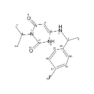 CC(Nc1cc(=O)n(C(C)C)c(=O)[nH]1)c1ccc(F)cc1